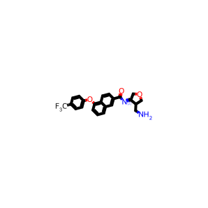 NCC1COC/C1=N\C(=O)c1ccc2c(Oc3ccc(C(F)(F)F)cc3)cccc2c1